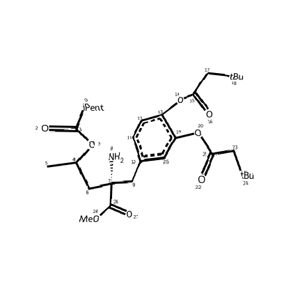 CCCC(C)C(=O)OC(C)C[C@@](N)(Cc1ccc(OC(=O)CC(C)(C)C)c(OC(=O)CC(C)(C)C)c1)C(=O)OC